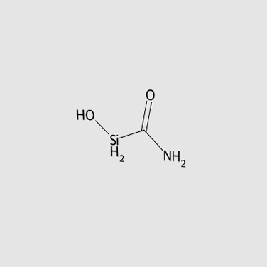 NC(=O)[SiH2]O